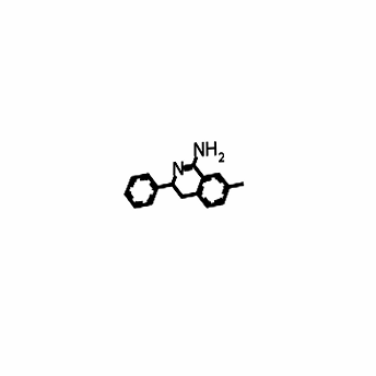 Cc1ccc2c(c1)C(N)=NC(c1ccccc1)C2